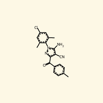 Cc1ccc(C(=O)c2nn(-c3c(C)cc(Cl)cc3C)c(N)c2C#N)cc1